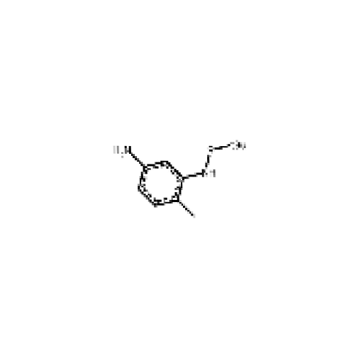 Cc1ccc(N)cc1NSC(C)(C)C